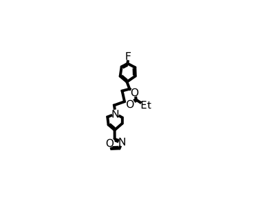 CCC(=O)OC(CCCN1CC=C(c2ncco2)CC1)c1ccc(F)cc1